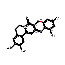 COc1cc2c(cc1OC)-c1c/c(=N/c3c(C)cc(C)cc3C)n(CC#N)c(=O)n1CC2